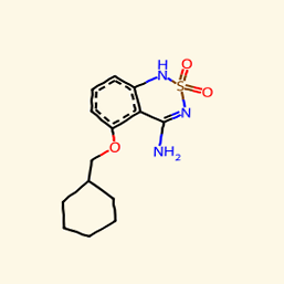 NC1=NS(=O)(=O)Nc2cccc(OCC3CCCCC3)c21